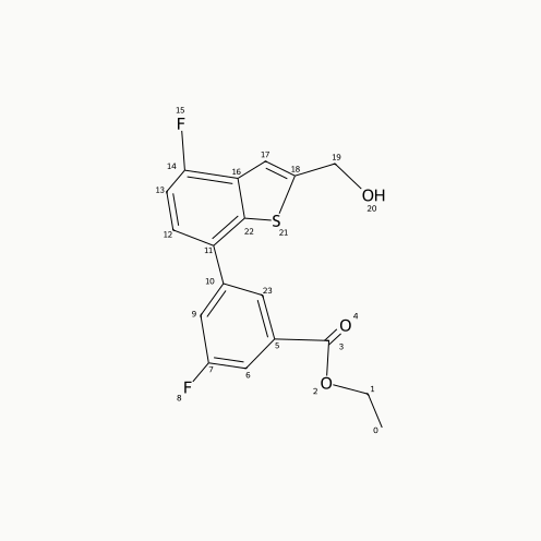 CCOC(=O)c1cc(F)cc(-c2ccc(F)c3cc(CO)sc23)c1